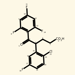 O=C(O)CCC(C(=O)c1c(F)cc(F)cc1F)c1cc(F)ccc1Cl